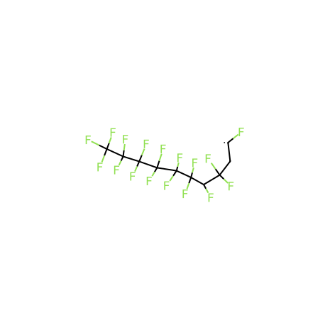 F[CH]CC(F)(F)C(F)C(F)(F)C(F)(F)C(F)(F)C(F)(F)C(F)(F)C(F)(F)F